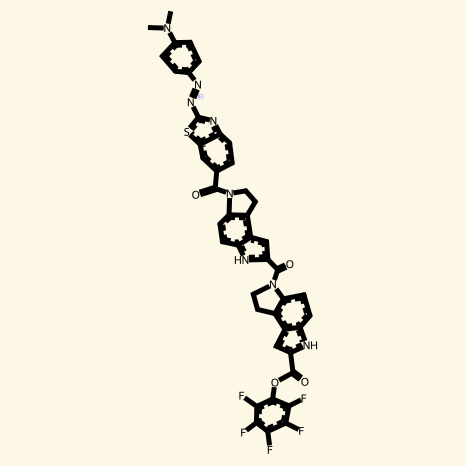 CN(C)c1ccc(/N=N/c2nc3ccc(C(=O)N4CCc5c4ccc4[nH]c(C(=O)N6CCc7c6ccc6[nH]c(C(=O)Oc8c(F)c(F)c(F)c(F)c8F)cc76)cc54)cc3s2)cc1